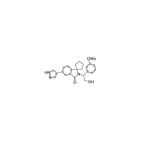 COc1cccc(C(CO)N2C(=O)c3cc(-c4cn[nH]c4)ccc3C23CCCC3)c1